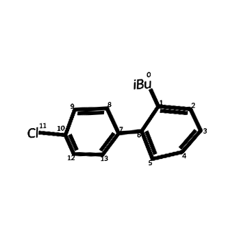 CCC(C)c1ccccc1-c1ccc(Cl)cc1